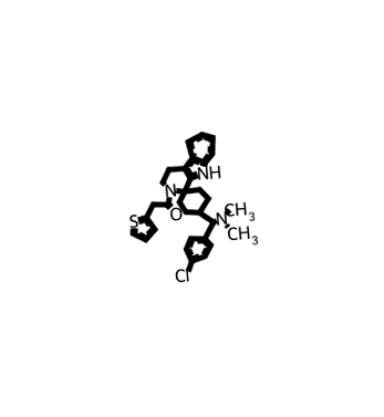 CN(C)C(c1ccc(Cl)cc1)C1CCC2(CC1)c1[nH]c3ccccc3c1CCN2C(=O)Cc1cccs1